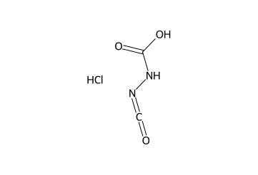 Cl.O=C=NNC(=O)O